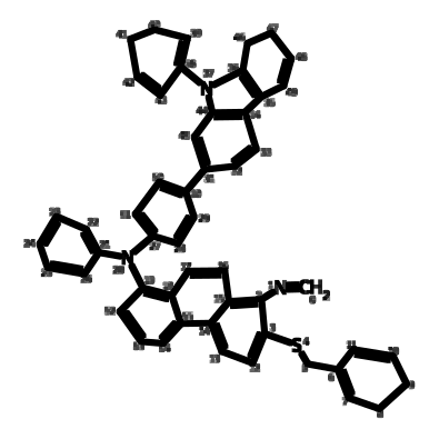 C=Nc1c(SCC2=CCCC=C2)ccc2c1ccc1c(N(c3ccccc3)c3ccc(-c4ccc5c6c(n(C7=CCCC=C7)c5c4)CCC=C6)cc3)cccc12